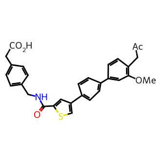 COc1cc(-c2ccc(-c3csc(C(=O)NCc4ccc(CC(=O)O)cc4)c3)cc2)ccc1CC(C)=O